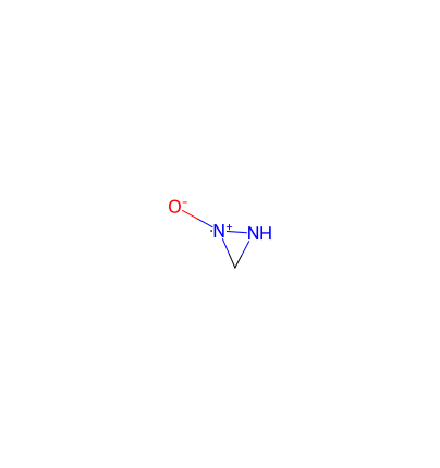 [O-][N+]1CN1